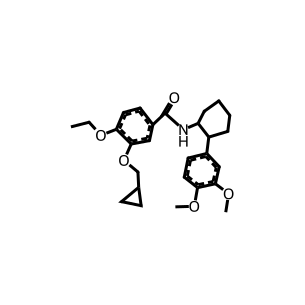 CCOc1ccc(C(=O)NC2CCCCC2c2ccc(OC)c(OC)c2)cc1OCC1CC1